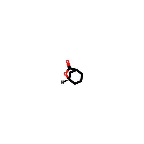 O=C1O[C@@H]2CCCC1C2